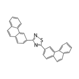 c1ccc2c(c1)ccc1ccc(-c3nsc(-c4ccc5ccc6ccccc6c5c4)n3)cc12